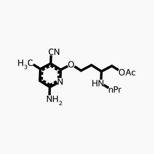 CCCNC(CCOc1nc(N)cc(C)c1C#N)COC(C)=O